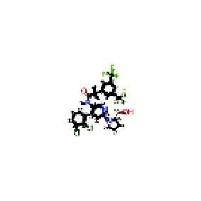 CN(C(=O)C(C)(C)c1cc(C(F)(F)F)cc(C(F)(F)F)c1)c1cnc(N2CCC[C@H]2CO)cc1-c1cccc(Cl)c1Cl